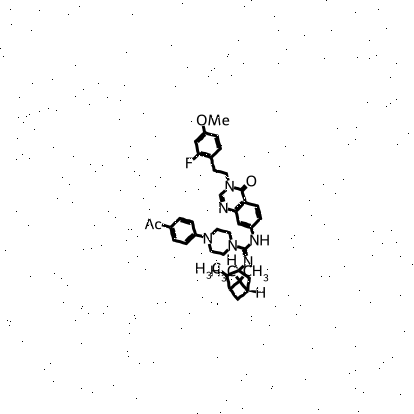 COc1ccc(CCn2cnc3cc(N/C(=N/[C@H]4C[C@@H]5CC(C4C)C5(C)C)N4CCN(c5ccc(C(C)=O)cc5)CC4)ccc3c2=O)c(F)c1